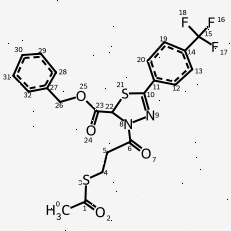 CC(=O)SCCC(=O)N1N=C(c2ccc(C(F)(F)F)cc2)SC1C(=O)OCc1ccccc1